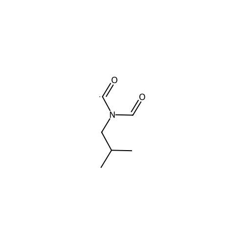 CC(C)CN([C]=O)C=O